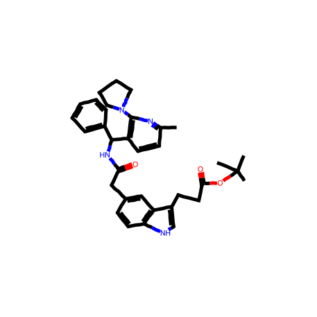 Cc1ccc(C(NC(=O)Cc2ccc3[nH]cc(CCC(=O)OC(C)(C)C)c3c2)c2ccccc2)c(N2CCCC2)n1